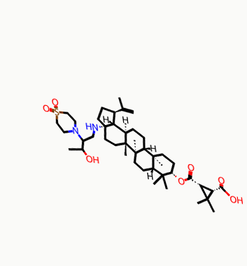 C=C(C)[C@@H]1CC[C@]2(NCC(C(C)O)N3CCS(=O)(=O)CC3)CC[C@]3(C)[C@H](CC[C@@H]4[C@@]5(C)CC[C@H](OC(=O)[C@@H]6[C@H](C(=O)O)C6(C)C)C(C)(C)[C@@H]5CC[C@]43C)[C@@H]12